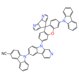 N#Cc1ccc2c(c1)c1ccccc1n2-c1ccc2c(c1)c1ccncc1n2-c1ccc2c(c1)Oc1cc(-n3c4ccccc4c4ccccc43)ccc1C21c2cccnc2-c2ncccc21